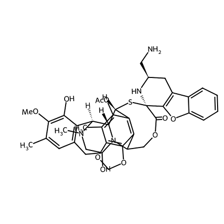 COc1c(C)cc2c(c1O)[C@H]1[C@@H]3[C@@H]4S[C@]5(N[C@@H](CN)Cc6c5oc5ccccc65)C(=O)OCC(c5c6c(c(C)c(OC(C)=O)c54)OCO6)N3C(O)(C2)CN1C